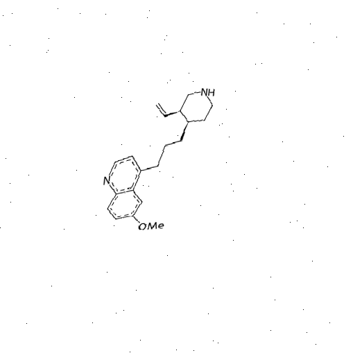 C=C[C@H]1CNCC[C@H]1CCCc1ccnc2ccc(OC)cc12